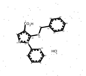 Cl.O=C(O)c1cnn(-c2ccccn2)c1SCc1ccccc1